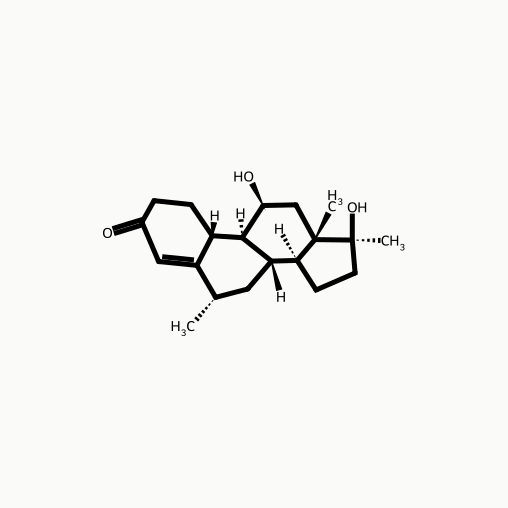 C[C@H]1C[C@@H]2[C@H]([C@@H](O)C[C@@]3(C)[C@H]2CC[C@]3(C)O)[C@H]2CCC(=O)C=C12